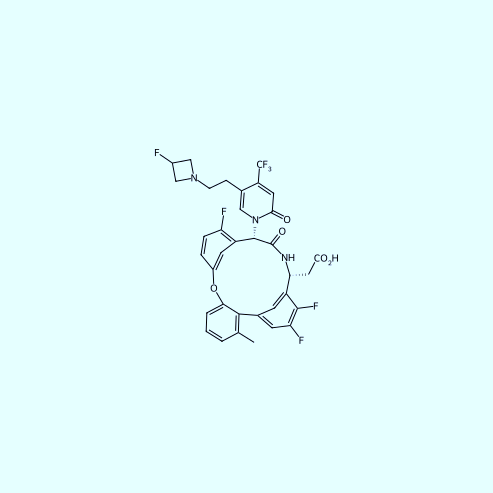 Cc1cccc2c1-c1cc(F)c(F)c(c1)[C@@H](CC(=O)O)NC(=O)[C@@H](n1cc(CCN3CC(F)C3)c(C(F)(F)F)cc1=O)c1cc(ccc1F)O2